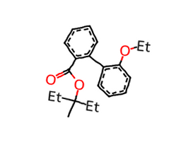 CCOc1ccccc1-c1ccccc1C(=O)OC(C)(CC)CC